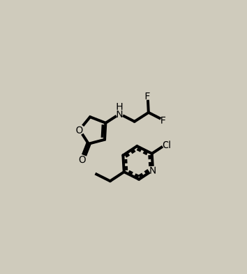 CCc1ccc(Cl)nc1.O=C1C=C(NCC(F)F)CO1